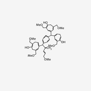 C=C(/C=C/COC)C(C1=CC=C=C(C(C2=CCC=C(O)C(COC)=C2)C2=CC(COC)=C(O)CC(COC)=C2)C=C1)C1=C/C/C(COC)=C(/O)C/C(COC)=C\1